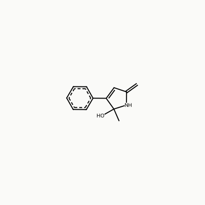 C=C1C=C(c2ccccc2)C(C)(O)N1